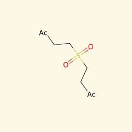 CC(=O)CCS(=O)(=O)CCC(C)=O